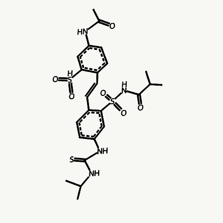 CC(=O)Nc1ccc(/C=C/c2ccc(NC(=S)NC(C)C)cc2S(=O)(=O)NC(=O)C(C)C)c([SH](=O)=O)c1